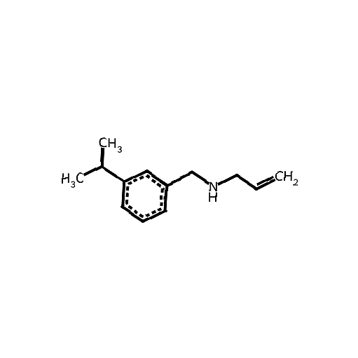 C=CCNCc1cccc(C(C)C)c1